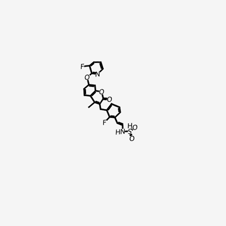 Cc1c(Cc2cccc(C=CN[SH](=O)=O)c2F)c(=O)oc2cc(Oc3ncccc3F)ccc12